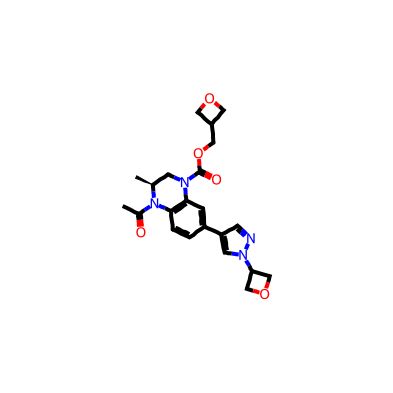 CC(=O)N1c2ccc(-c3cnn(C4COC4)c3)cc2N(C(=O)OCC2COC2)C[C@@H]1C